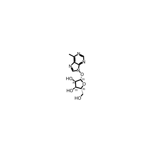 Cc1ncnc2c1ncn2O[C@@H]1O[C@H](CO)[C@@H](O)[C@H]1O